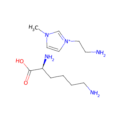 Cn1cc[n+](CCN)c1.NCCCC[C@H](N)C(=O)O